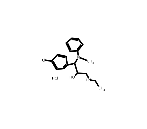 CCNCC(O)C(c1ccc(Cl)cc1)N(C)c1ccccc1.Cl